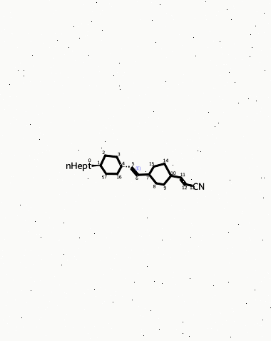 CCCCCCC[C@H]1CC[C@H](/C=C/C2CCC(C=CC#N)CC2)CC1